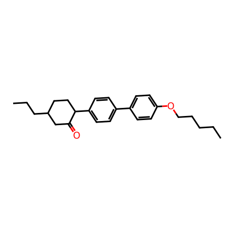 CCCCCOc1ccc(-c2ccc(C3CCC(CCC)CC3=O)cc2)cc1